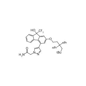 CCCC(CCC)(CCOc1cc(-c2cnn(CC(N)=O)c2)c2c(c1)C(O)(C(F)(F)F)c1ccccc1-2)CC(C)(C)C